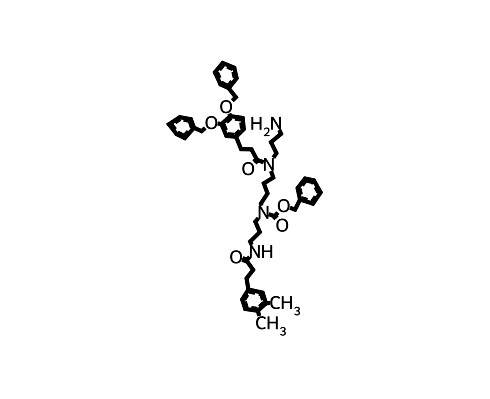 Cc1ccc(CCC(=O)NCCCN(CCCCN(CCCN)C(=O)CCc2ccc(OCc3ccccc3)c(OCc3ccccc3)c2)C(=O)OCc2ccccc2)cc1C